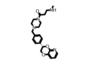 CNCCC(=O)N1CCN(Cc2ccc([C@H]3COc4cccnc4O3)cc2)CC1